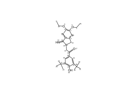 CCOc1nc2c(nc1OCC)C(=N)N(CC(=O)c1cc(C(C)(C)C)c(O)c(C(C)(C)C)c1)C2